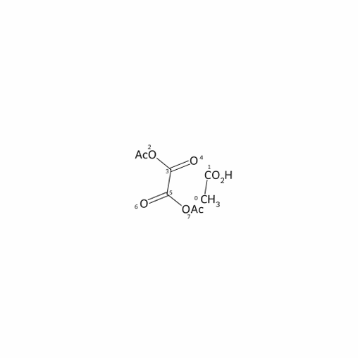 CC(=O)O.CC(=O)OC(=O)C(=O)OC(C)=O